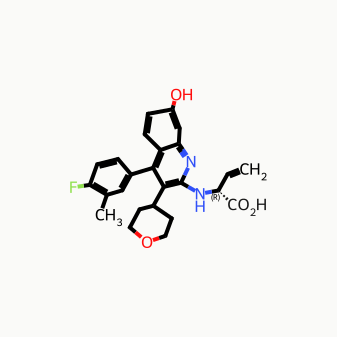 C=C[C@@H](Nc1nc2cc(O)ccc2c(-c2ccc(F)c(C)c2)c1C1CCOCC1)C(=O)O